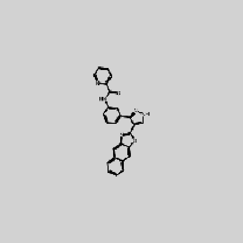 O=C(Nc1cccc(-c2n[nH]cc2-c2nc3cc4ccccc4cc3o2)c1)c1ccccn1